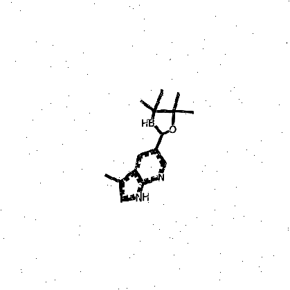 Cc1c[nH]c2ncc(C3BC(C)(C)C(C)(C)O3)cc12